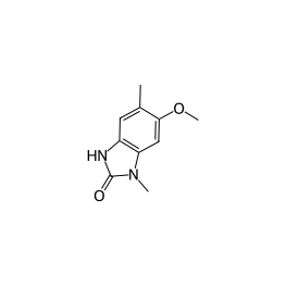 COc1cc2c(cc1C)[nH]c(=O)n2C